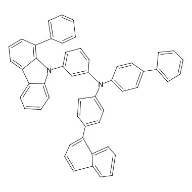 c1ccc(-c2ccc(N(c3ccc(-c4cccc5ccccc45)cc3)c3cccc(-n4c5ccccc5c5cccc(-c6ccccc6)c54)c3)cc2)cc1